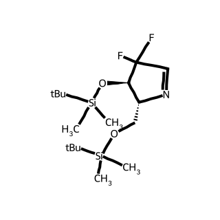 CC(C)(C)[Si](C)(C)OC[C@H]1N=CC(F)(F)[C@@H]1O[Si](C)(C)C(C)(C)C